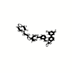 O=c1sc2ccc(-c3cc(F)cc(F)c3)cc2n1Cc1cccc(-c2ncc(OCCN3CCOCC3)cn2)c1